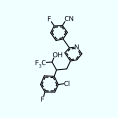 N#Cc1cc(-c2cc(CC(c3ccc(F)cc3Cl)C(O)C(F)(F)F)ccn2)ccc1F